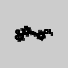 Cc1cccc(C#Cc2cncc(N3CCOC3=O)c2)c1